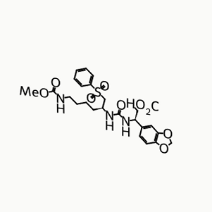 COC(=O)NCCCC[C@@H](CS(=O)(=O)c1ccccc1)NC(=O)N[C@@H](CC(=O)O)c1ccc2c(c1)OCO2